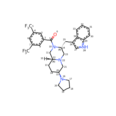 O=C(c1cc(C(F)(F)F)cc(C(F)(F)F)c1)N1C[C@H]2CC[C@H](N3CCCC3)CN2C[C@H]1Cc1c[nH]c2ccccc12